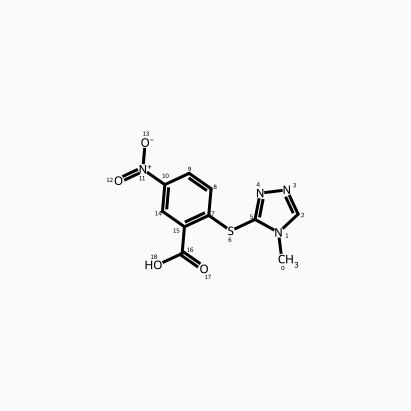 Cn1cnnc1Sc1ccc([N+](=O)[O-])cc1C(=O)O